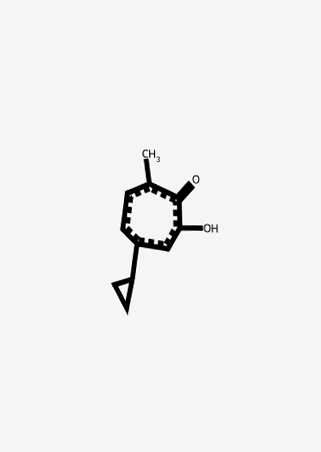 Cc1ccc(C2CC2)cc(O)c1=O